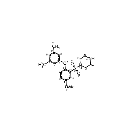 COc1ccc(Oc2cc(C)cc(C)c2)c(S(=O)(=O)N2CCNCC2)c1